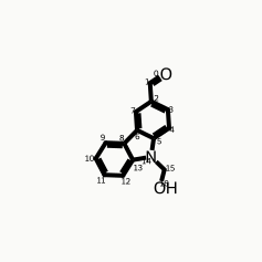 O=Cc1ccc2c(c1)c1ccccc1n2CO